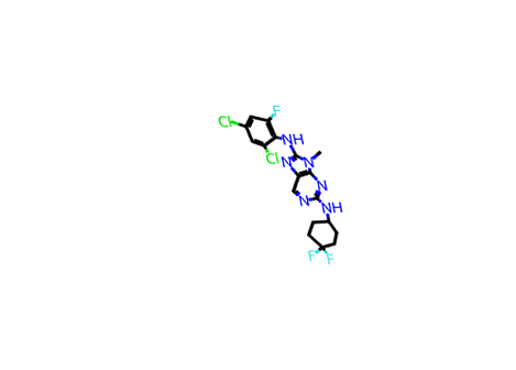 Cn1c(Nc2c(F)cc(Cl)cc2Cl)nc2cnc(NC3CCC(F)(F)CC3)nc21